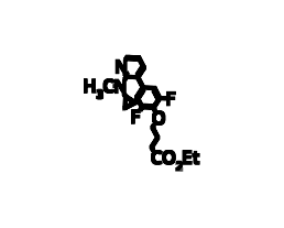 CCOC(=O)CCCOc1c(F)cc(-c2cccnc2N(C)C2CC2)cc1F